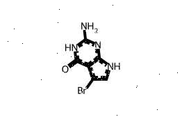 Nc1nc2[nH]cc(Br)c2c(=O)[nH]1